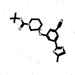 Cc1cnc(-c2cc(C#N)cc(O[C@@H]3CCCN(C(=O)OC(C)(C)C)C3)c2)s1